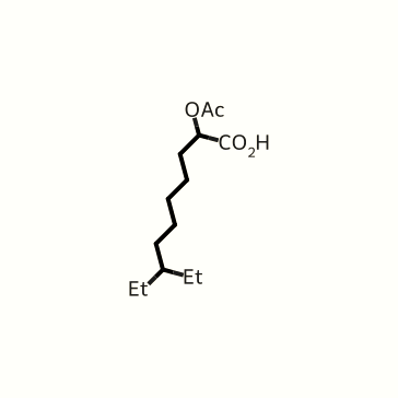 CCC(CC)CCCCCC(OC(C)=O)C(=O)O